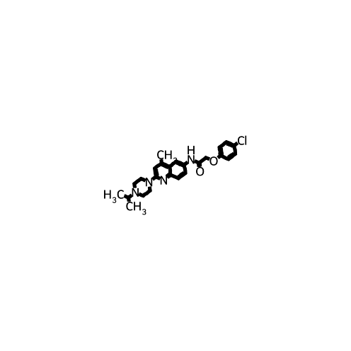 Cc1cc(N2CCN(C(C)C)CC2)nc2ccc(NC(=O)COc3ccc(Cl)cc3)cc12